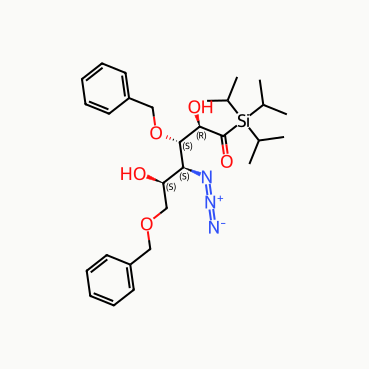 CC(C)[Si](C(=O)[C@H](O)[C@@H](OCc1ccccc1)[C@@H](N=[N+]=[N-])[C@H](O)COCc1ccccc1)(C(C)C)C(C)C